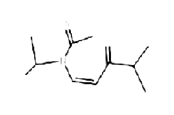 C=C(/C=C\N(C(C)=O)C(C)C)C(C)C